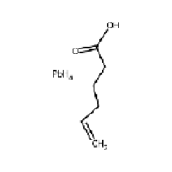 C=CCCCC(=O)O.[PbH4]